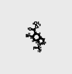 COC(=O)c1cc2cnn(C(F)F)c2cc1Br